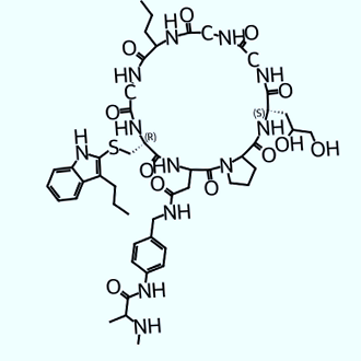 CCCc1c(SC[C@@H]2NC(=O)CNC(=O)C(CCC)NC(=O)CNC(=O)CNC(=O)[C@H](CC(O)CO)NC(=O)C3CCCN3C(=O)C(CC(=O)NCc3ccc(NC(=O)C(C)NC)cc3)NC2=O)[nH]c2ccccc12